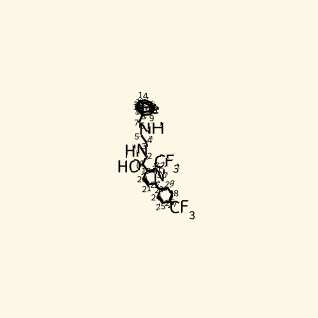 O[C@@H](CNCCNC[C]12[CH]3[CH]4[CH]5[CH]1[Fe]45321678[CH]2[CH]1[CH]6[CH]7[CH]28)c1ccc(-c2ccc(C(F)(F)F)cc2)nc1C(F)(F)F